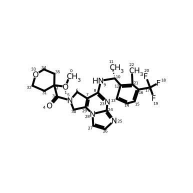 COC1(C(=O)N2Cc3c(N[C@H](C)c4cccc(C(F)(F)F)c4C)nc4nccn4c3C2)CCOCC1